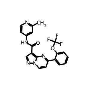 Cc1cc(NC(=O)c2cnn3ccc(-c4ccccc4OC(F)(F)F)nc23)ccn1